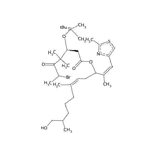 CC(=CCC(OC(=O)C[C@H](O[Si](C)(C)C(C)(C)C)C(C)(C)C(=O)C(C)Br)C(C)=Cc1csc(C)n1)CCCC(C)CO